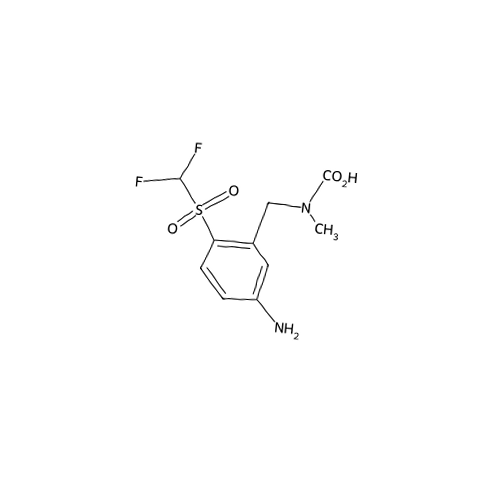 CN(Cc1cc(N)ccc1S(=O)(=O)C(F)F)C(=O)O